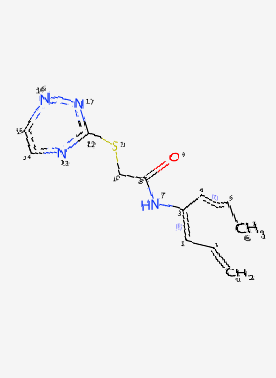 C=C/C=C(\C=C/C)NC(=O)CSc1nccnn1